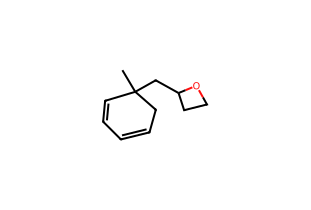 CC1(CC2CCO2)C=CC=CC1